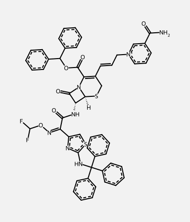 NC(=O)c1ccc[n+](C/C=C/C2=C(C(=O)OC(c3ccccc3)c3ccccc3)N3C(=O)[C@@H](NC(=O)/C(=N\OC(F)F)c4csc(NC(c5ccccc5)(c5ccccc5)c5ccccc5)n4)[C@@H]3SC2)c1